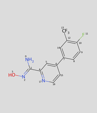 NC(=NO)c1cc(-c2ccc(F)c(C(F)(F)F)c2)ccn1